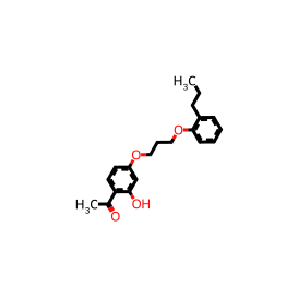 CCCc1ccccc1OCCCOc1ccc(C(C)=O)c(O)c1